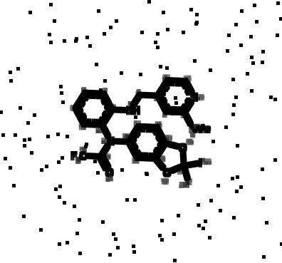 CNc1cc(CNc2ccccc2N(C(=O)C(F)(F)F)c2ccc3c(c2)OC(F)(F)O3)ccn1